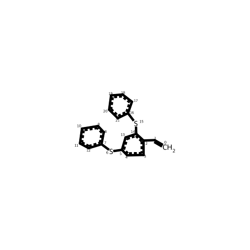 C=Cc1ccc(Sc2ccccc2)cc1Sc1ccccc1